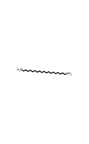 NCCCCCCCCCCCCCCCCCCC[SiH3]